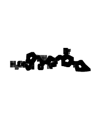 Cn1cnc2c1CC[C@H]2NC(=O)c1cn(Cc2ccc(N3CC4CC4C3)cc2Br)cn1